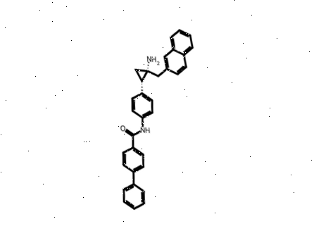 N[C@@]1(Cc2ccc3ccccc3c2)C[C@H]1c1ccc(NC(=O)c2ccc(-c3ccccc3)cc2)cc1